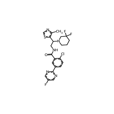 Cc1ncsc1C(CNC(=O)c1cc(-c2ncc(F)cn2)ccc1Cl)N1CCCC(F)(F)C1